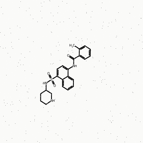 Cc1ccccc1C(=O)Nc1ccc(S(=O)(=O)NC2CCCNC2)c2ccccc12